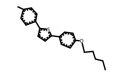 CCCCCOc1ccc(-c2ccc(-c3ccc(C)cc3)s2)cc1